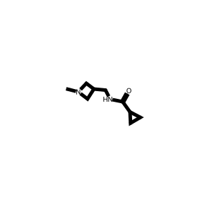 CN1CC(CNC(=O)C2CC2)C1